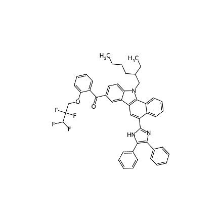 CCCCC(CC)Cn1c2ccc(C(=O)c3ccccc3OCC(F)(F)C(F)F)cc2c2cc(-c3nc(-c4ccccc4)c(-c4ccccc4)[nH]3)c3ccccc3c21